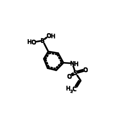 C=CS(=O)(=O)Nc1cccc(B(O)O)c1